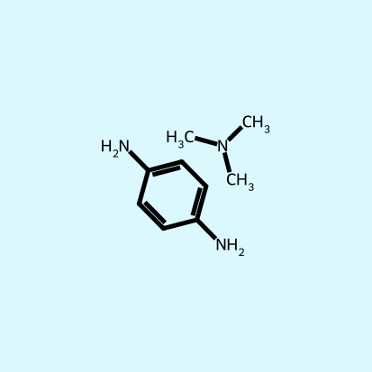 CN(C)C.Nc1ccc(N)cc1